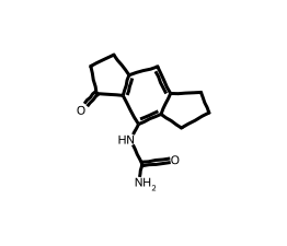 NC(=O)Nc1c2c(cc3c1C(=O)CC3)CCC2